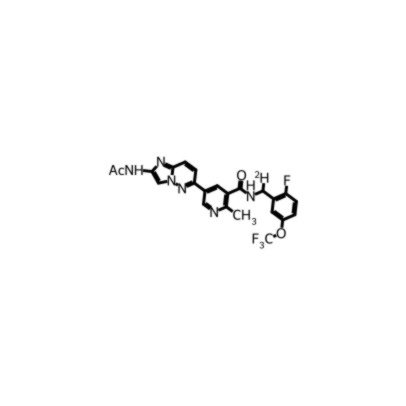 [2H]C(NC(=O)c1cc(-c2ccc3nc(NC(C)=O)cn3n2)cnc1C)c1cc(OC(F)(F)F)ccc1F